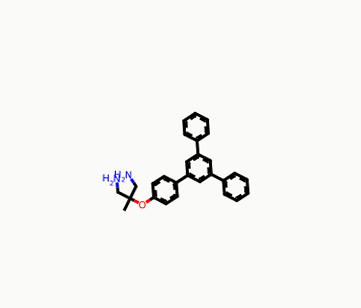 CC(CN)(CN)Oc1ccc(-c2cc(-c3ccccc3)cc(-c3ccccc3)c2)cc1